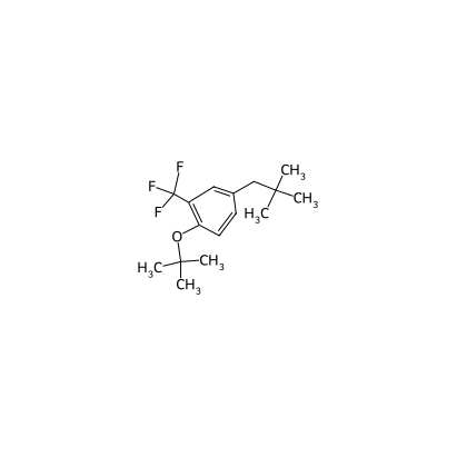 CC(C)(C)Cc1ccc(OC(C)(C)C)c(C(F)(F)F)c1